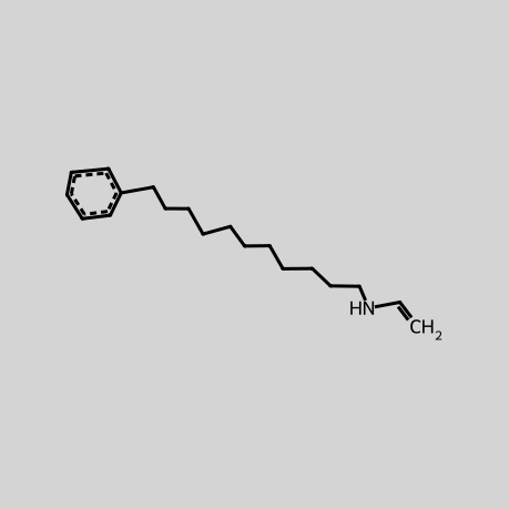 C=CNCCCCCCCCCCCc1ccccc1